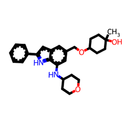 CC1(O)CCC(OCc2cc(NC3CCOCC3)c3[nH]c(-c4ccccc4)cc3c2)CC1